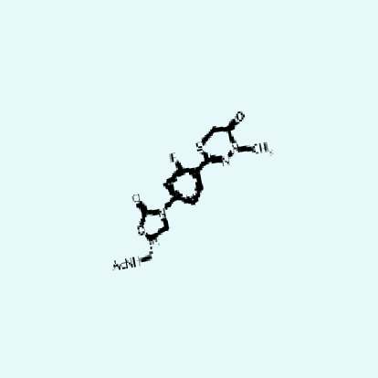 CC(=O)NC[C@H]1CN(c2ccc(C3=NN(C)C(=O)CS3)c(F)c2)C(=O)O1